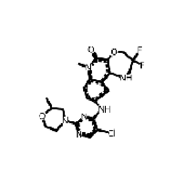 CC1CN(c2ncc(Cl)c(Nc3ccc4c(c3)c3c(c(=O)n4C)OCC(F)(F)CN3)n2)CCO1